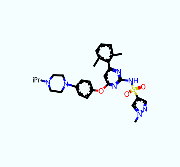 Cc1cccc(C)c1-c1cc(Oc2ccc(N3CCN(C(C)C)CC3)cc2)nc(NS(=O)(=O)c2cnn(C)c2)n1